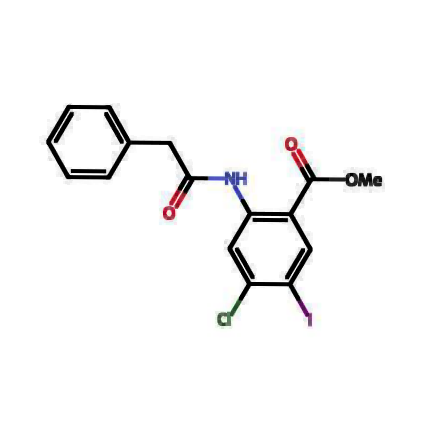 COC(=O)c1cc(I)c(Cl)cc1NC(=O)Cc1ccccc1